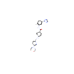 Cc1ccc(-c2ncc[nH]2)cc1NC(=O)c1ccc(NCc2ccc(N3CCOCC3)cn2)cc1